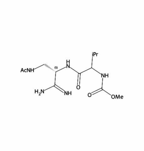 COC(=O)NC(C(=O)N[C@@H](CNC(C)=O)C(=N)N)C(C)C